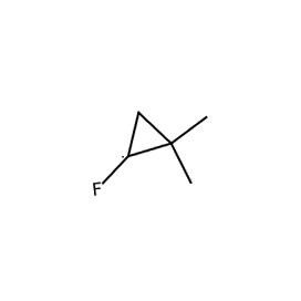 CC1(C)C[C]1F